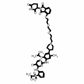 Cc1cc(Nc2ncc(Cl)c(Nc3ccccc3S(=O)(=O)C(C)C)n2)c(OC(C)C)cc1C1CCN(CCCOCCOCCSc2cccc3c2C(=O)N(C2CCC(=O)NC2=O)C3=O)CC1